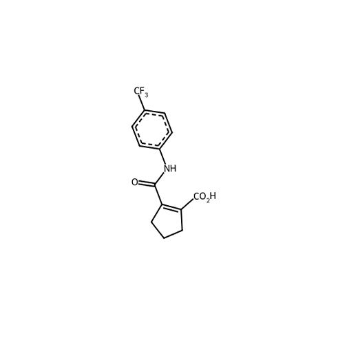 O=C(O)C1=C(C(=O)Nc2ccc(C(F)(F)F)cc2)CCC1